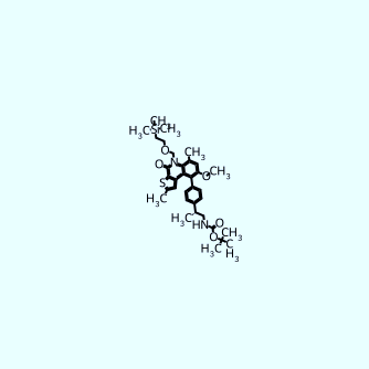 COc1cc(C)c2c(c1-c1ccc([C@@H](C)CNC(=O)OC(C)(C)C)cc1)c1cc(C)sc1c(=O)n2COCC[Si](C)(C)C